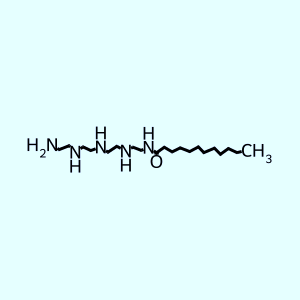 CCCCCCCCCCCC(=O)NCCNCCNCCNCCN